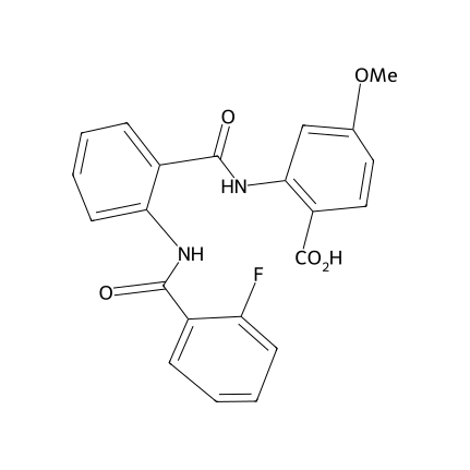 COc1ccc(C(=O)O)c(NC(=O)c2ccccc2NC(=O)c2ccccc2F)c1